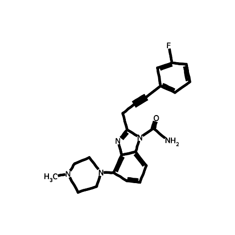 CN1CCN(c2cccc3c2nc(CC#Cc2cccc(F)c2)n3C(N)=O)CC1